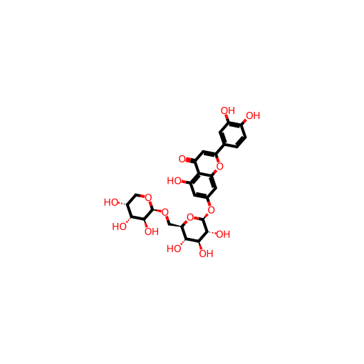 O=c1cc(-c2ccc(O)c(O)c2)oc2cc(O[C@@H]3O[C@H](CO[C@@H]4OC[C@@H](O)[C@@H](O)[C@@H]4O)[C@@H](O)[C@H](O)[C@H]3O)cc(O)c12